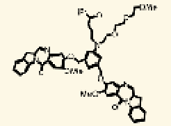 COCCOCCOCCN(CCCC(=O)C(C)C)c1cc(COc2cc3c(cc2OC)C(=O)N2c4ccccc4CC2C=N3)cc(COc2cc3c(cc2OC)C(=O)N2c4ccccc4CC2C=N3)c1